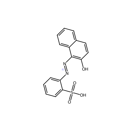 O=S(=O)(O)c1ccccc1/N=N/c1c(O)ccc2ccccc12